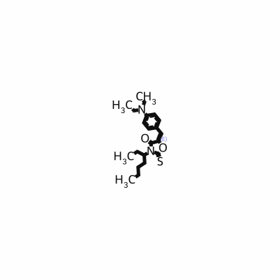 CCCCC(CC)N1C(=O)/C(=C\c2ccc(N(CC)CC)cc2)OC1=S